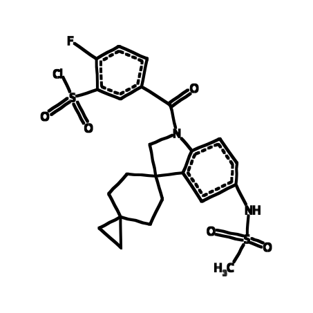 CS(=O)(=O)Nc1ccc2c(c1)C1(CCC3(CC3)CC1)CN2C(=O)c1ccc(F)c(S(=O)(=O)Cl)c1